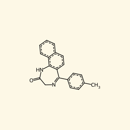 Cc1ccc(C2=NCC(=O)Nc3c2ccc2ccccc32)cc1